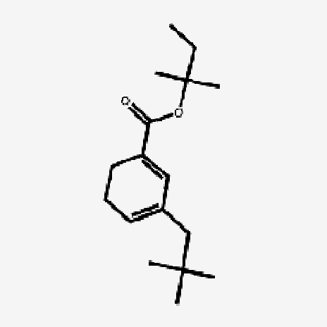 CCC(C)(C)OC(=O)C1=CC(CC(C)(C)C)=CCC1